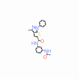 CC(=O)Nc1cccc(NC(=O)c2cc3c(C)nn(-c4ccccc4)c3s2)c1